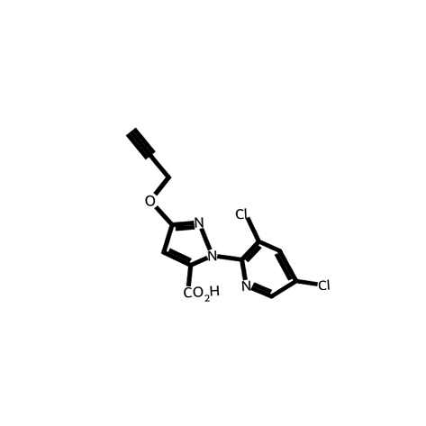 C#CCOc1cc(C(=O)O)n(-c2ncc(Cl)cc2Cl)n1